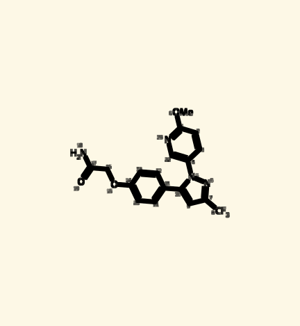 COc1ccc(-n2nc(C(F)(F)F)cc2-c2ccc(OCC(N)=O)cc2)cn1